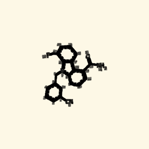 N#Cc1cccc(Cn2c3cccc(C(N)=O)c3c3[c]ccc(F)c32)c1